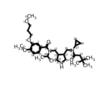 COCCCOc1cc(C(=O)N(CC2CNCC2CN(C(=O)CC(C)(C)C)C2CC2)C(C)C)ccc1OC